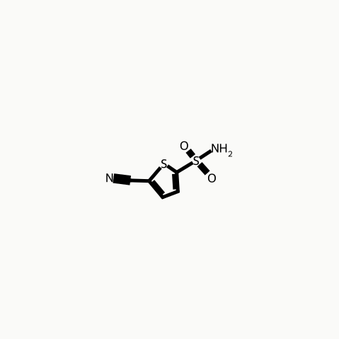 N#Cc1ccc(S(N)(=O)=O)s1